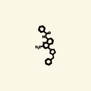 Cc1cc(N2CCC(Cc3ccccc3)C2)c2cccc(NC(=O)c3ccccc3)c2n1